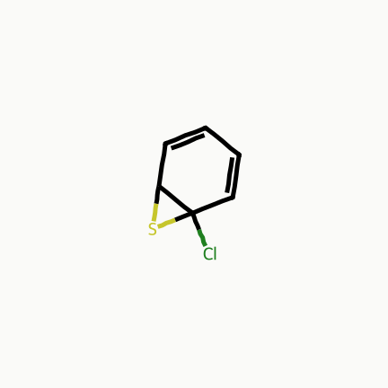 ClC12C=CC=CC1S2